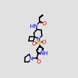 C=CC(=O)NC1CCN(S(=O)(=O)c2c[nH]c(C(=O)N3CCCC3)c2)C2(CCC2)C1